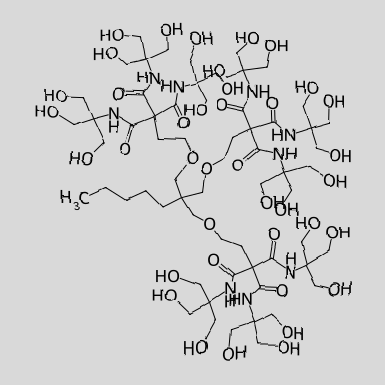 CCCCCC(COCCC(C(=O)NC(CO)(CO)CO)(C(=O)NC(CO)(CO)CO)C(=O)NC(CO)(CO)CO)(COCCC(C(=O)NC(CO)(CO)CO)(C(=O)NC(CO)(CO)CO)C(=O)NC(CO)(CO)CO)COCCC(C(=O)NC(CO)(CO)CO)(C(=O)NC(CO)(CO)CO)C(=O)NC(CO)(CO)CO